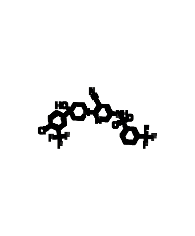 N#Cc1cc(NS(=O)(=O)c2cccc(C(F)(F)F)c2)cnc1N1CCC(O)(c2ccc(Cl)c(C(F)(F)F)c2)CC1